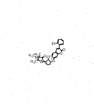 CCc1ccccc1-c1cc2ccc(OC3CCC(OC(=O)C4(C)N(C)C4(C)C)C3C(F)(F)F)cc2oc1=O